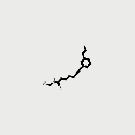 CC=Cc1cccc(C#CCC/C=C/C(=O)NCC(C)C)c1